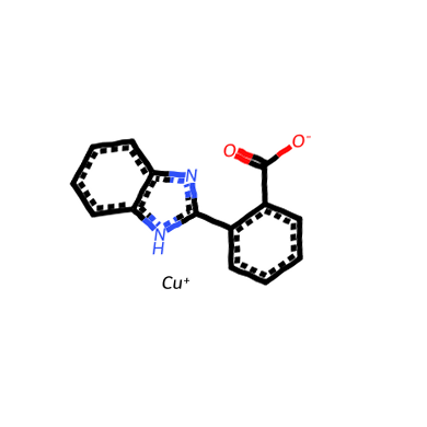 O=C([O-])c1ccccc1-c1nc2ccccc2[nH]1.[Cu+]